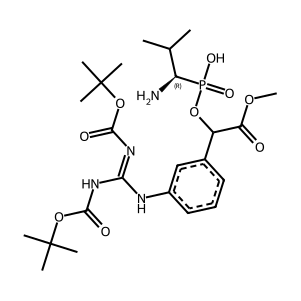 COC(=O)C(OP(=O)(O)[C@@H](N)C(C)C)c1cccc(NC(=NC(=O)OC(C)(C)C)NC(=O)OC(C)(C)C)c1